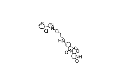 O=C1CCC(N2C(=O)c3ccc(NCCCC4CC(n5cc(-c6ncccc6Cl)cn5)C4)cc3C2=O)C(=O)N1